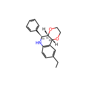 CCc1ccc2c(c1)[C@H]1OCCO[C@H]1[C@H](c1ccccc1)N2